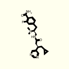 CN(C)[C@H](CNC(=O)C[C@@H](CC1CC1)c1cncnc1)Cc1ccc(C(N)=O)c(F)c1